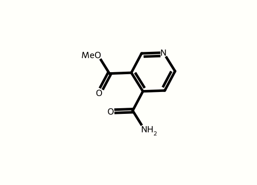 COC(=O)c1cnccc1C(N)=O